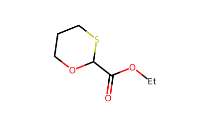 CCOC(=O)C1OCCCS1